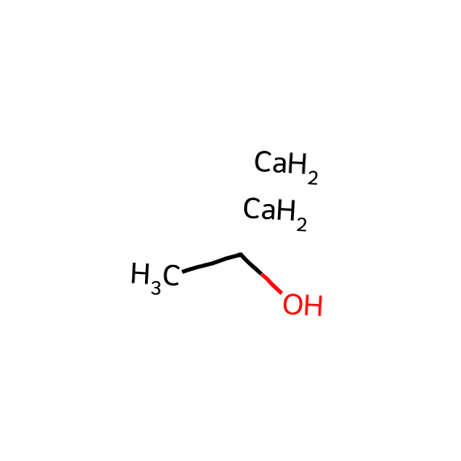 CCO.[CaH2].[CaH2]